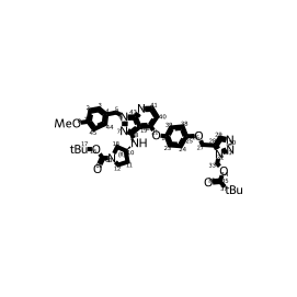 COc1ccc(Cn2nc(N[C@@H]3CCN(C(=O)OC(C)(C)C)C3)c3c(Oc4ccc(OCc5cnnn5COC(=O)C(C)(C)C)cc4)ccnc32)cc1